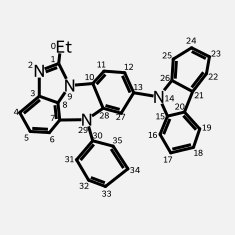 CCc1nc2cccc3c2n1-c1ccc(-n2c4ccccc4c4ccccc42)cc1N3c1ccccc1